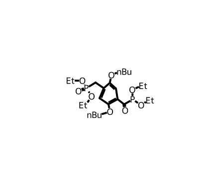 CCCCOc1cc(C(=O)P(OCC)OCC)c(OCCCC)cc1CP(=O)(OCC)OCC